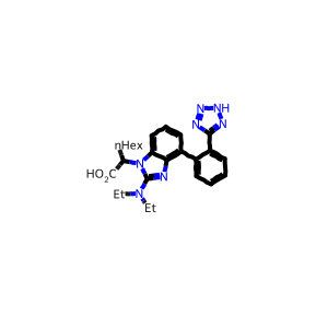 CCCCCCC(C(=O)O)n1c(N(CC)CC)nc2c(-c3ccccc3-c3nn[nH]n3)cccc21